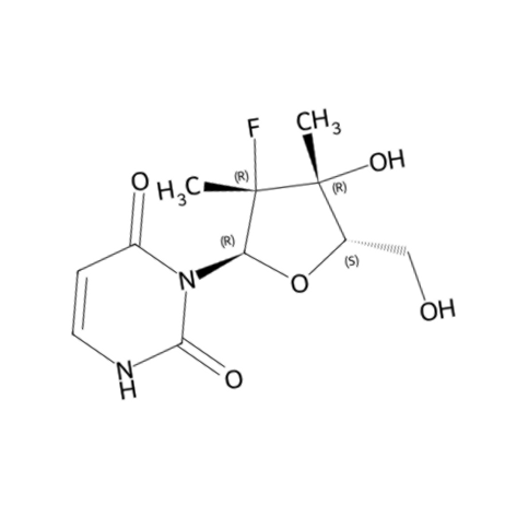 C[C@]1(F)[C@H](n2c(=O)cc[nH]c2=O)O[C@@H](CO)[C@@]1(C)O